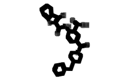 O=C(O)c1cc(C(=O)N2CCC(Cc3ccccc3)CC2)ccc1NC(=O)c1sc2ccccc2c1Cl